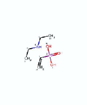 C=CP(=O)(O)O.CCNCC